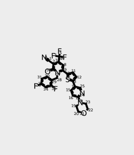 N#Cc1c(C(F)(F)F)cc(-c2ccc(-c3ccc(N4CCOCC4)nc3)s2)n(Cc2ccc(F)cc2F)c1=O